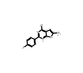 Fc1ccc(-c2nc(Cl)c3cc(C(F)(F)F)sc3n2)cc1